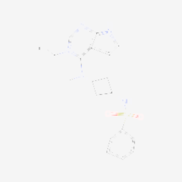 CC(C)C[n+]1cnc2[nH]ccc2c1N(C)[C@H]1C[C@@H](NS(=O)(=O)c2ccccc2)C1